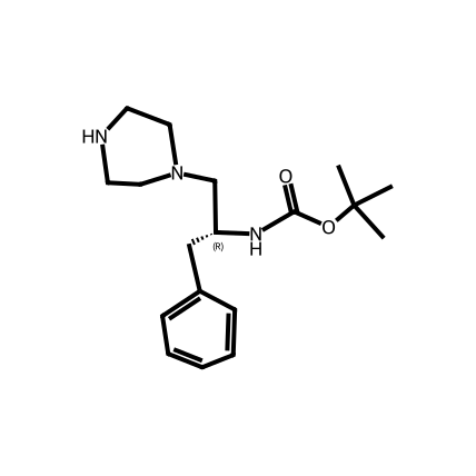 CC(C)(C)OC(=O)N[C@H](Cc1ccccc1)CN1CCNCC1